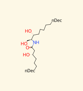 CCCCCCCCCCCCCCC[C@@H](O)[C@H](CO)NC(=O)C[C@@H](O)CCCCCCCCCCCCC